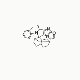 Cc1ccccc1N1[C@@H](C)c2nc3occn3c2C12C1CCC3CCC(C1)CC32